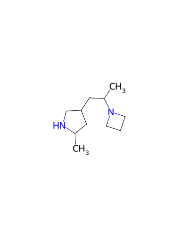 CC1CC(CC(C)N2CCC2)CN1